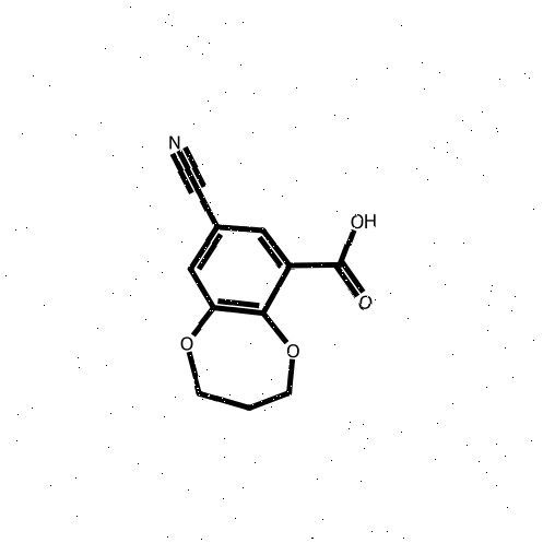 N#Cc1cc2c(c(C(=O)O)c1)OCCCO2